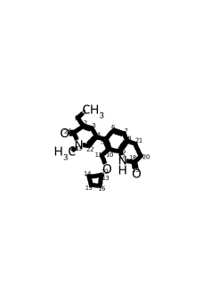 CCc1cc(-c2ccc3c(c2COC2CCC2)NC(=O)CC3)cn(C)c1=O